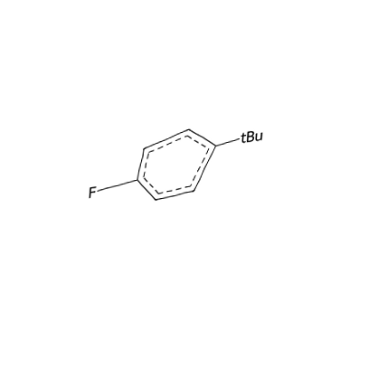 CC(C)(C)c1ccc(F)cc1